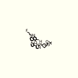 Cc1ccc2c(NCCCF)cccc2c1Oc1ncccc1-c1ccnc(NC2CCCN(C(=O)OC(C)(C)C)C2)n1